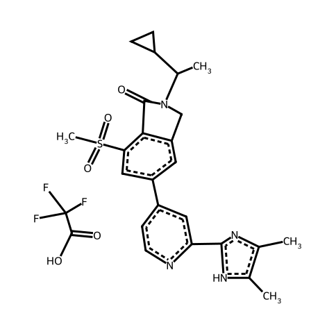 Cc1nc(-c2cc(-c3cc4c(c(S(C)(=O)=O)c3)C(=O)N(C(C)C3CC3)C4)ccn2)[nH]c1C.O=C(O)C(F)(F)F